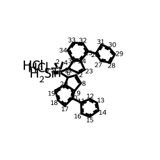 Cl.Cl.[CH3][Ti]([CH3])(=[SiH2])([CH]1C=Cc2c(-c3ccccc3)cccc21)[CH]1C=Cc2c(-c3ccccc3)cccc21